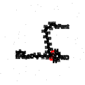 CCCCC/C=C\C/C=C\CCCCCCCCC1(CCCCCCCC/C=C\C/C=C\CCCCC)O[C@H]2C[C@H](N=O)C[C@H]2O1